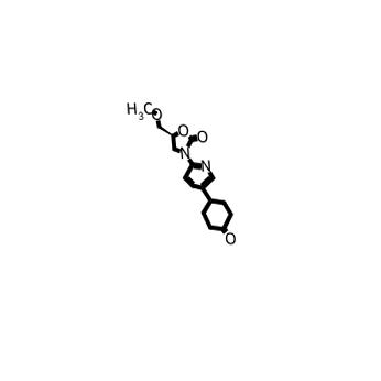 COC[C@@H]1CN(c2ccc(C3CCC(=O)CC3)cn2)C(=O)O1